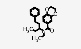 CCC(CCc1ccccc1)N(CC)C(=O)c1ccc2c(c1)OCCO2